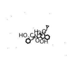 O=C(N[C@@H](Cc1ccccc1)C(=O)O)c1c(O)c2ccccc2n(OCC2CC2)c1=O